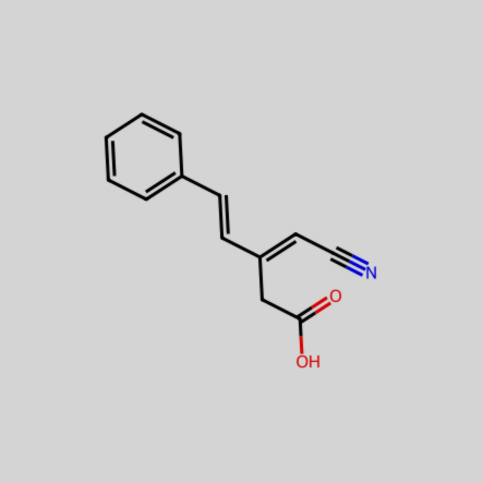 N#CC=C(C=Cc1ccccc1)CC(=O)O